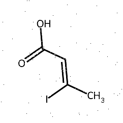 CC(I)=CC(=O)O